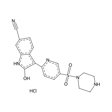 Cl.N#Cc1ccc2c(-c3ccc(S(=O)(=O)N4CCNCC4)cn3)c(O)[nH]c2c1